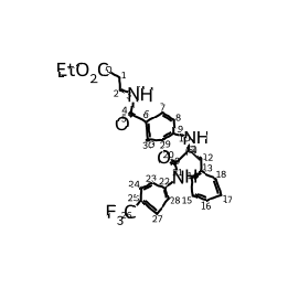 CCOC(=O)CCNC(=O)c1ccc(N[C@@H](Cc2ccccc2)C(=O)Nc2ccc(C(F)(F)F)cc2)cc1